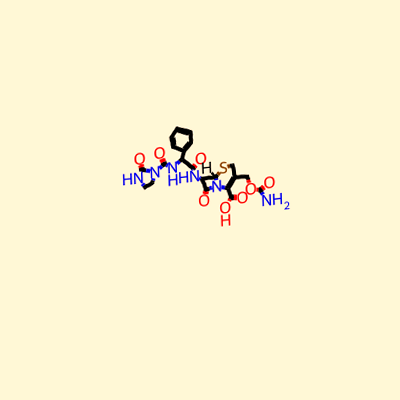 NC(=O)OCC1=C(C(=O)O)N2C(=O)C(NC(=O)C(NC(=O)N3CCNC3=O)c3ccccc3)[C@@H]2SC1